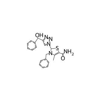 CC1=C(C(N)=O)SC(n2cc(C(O)c3ccccc3)nn2)N1Cc1ccccc1